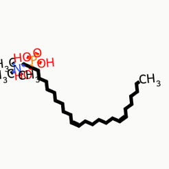 CCCCCC/C=C\CCCCC/C=C\CCCCCCCCCC(O)(C[N+](C)(C)C)P(=O)(O)O